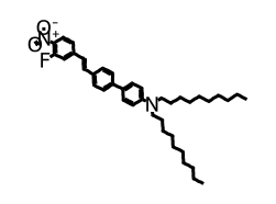 CCCCCCCCCCN(CCCCCCCCCC)c1ccc(-c2ccc(C=Cc3ccc([N+](=O)[O-])c(F)c3)cc2)cc1